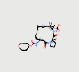 O=C(N[C@H]1CCCC/C=C\[C@@H]2C[C@@]2(C(=O)O)NC(=O)[C@@H]2CCCN2C1=O)OC1CCOCC1